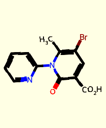 Cc1c(Br)cc(C(=O)O)c(=O)n1-c1ccccn1